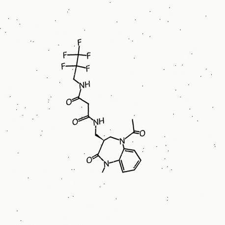 CC(=O)N1C[C@H](CNC(=O)CC(=O)NCC(F)(F)C(F)(F)F)C(=O)N(C)c2ccccc21